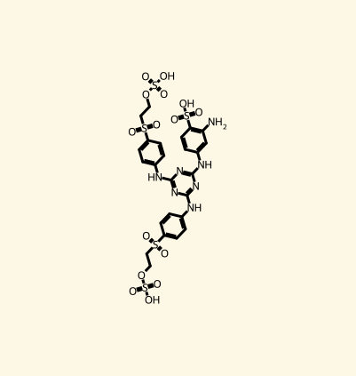 Nc1cc(Nc2nc(Nc3ccc(S(=O)(=O)CCOS(=O)(=O)O)cc3)nc(Nc3ccc(S(=O)(=O)CCOS(=O)(=O)O)cc3)n2)ccc1S(=O)(=O)O